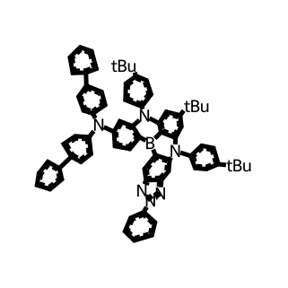 CC(C)(C)c1ccc(N2c3cc(N(c4ccc(-c5ccccc5)cc4)c4ccc(-c5ccccc5)cc4)ccc3B3c4cc5nn(-c6ccccc6)nc5cc4N(c4ccc(C(C)(C)C)cc4)c4cc(C(C)(C)C)cc2c43)cc1